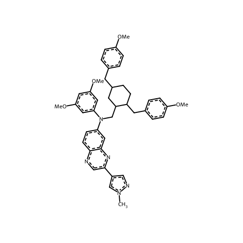 COc1ccc(CC2CCC(Cc3ccc(OC)cc3)C(CN(c3cc(OC)cc(OC)c3)c3ccc4ncc(-c5cnn(C)c5)nc4c3)C2)cc1